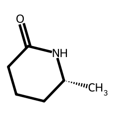 C[C@@H]1CCCC(=O)N1